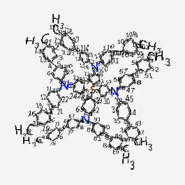 Cc1ccc(-c2ccc(N(c3ccc(-c4ccc(C)cc4)cc3)c3ccc(S(c4ccc(N(c5ccc(-c6ccc(C)cc6)cc5)c5ccc(-c6ccc(C)cc6)cc5)cc4)(c4ccc(N(c5ccc(-c6ccc(C)cc6)cc5)c5ccc(-c6ccc(C)cc6)cc5)cc4)c4ccc(N(c5ccc(-c6ccc(C)cc6)cc5)c5ccc(-c6ccc(C)cc6)cc5)cc4)cc3)cc2)cc1